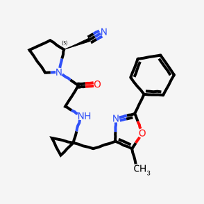 Cc1oc(-c2ccccc2)nc1CC1(NCC(=O)N2CCC[C@H]2C#N)CC1